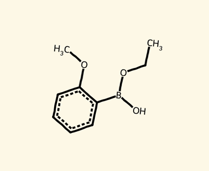 CCOB(O)c1ccccc1OC